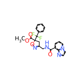 COC(=O)C1(C(F)(F)c2ccccc2)CC(CNC(=O)c2cccn3ccnc23)=NO1